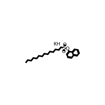 CCCCCCCCCCCCCCS(=O)(=O)Oc1cccc2ccccc12.[KH]